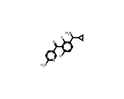 Nc1ccc(C(=O)c2c(Cl)ccc(C(N)C3CC3)c2F)cn1